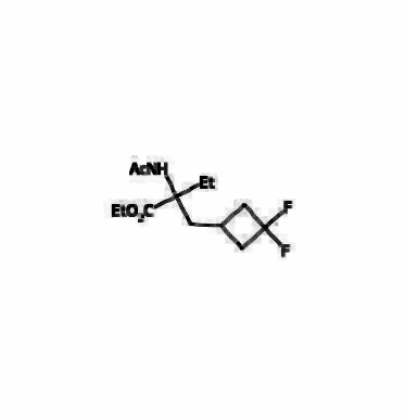 CCOC(=O)C(CC)(CC1CC(F)(F)C1)NC(C)=O